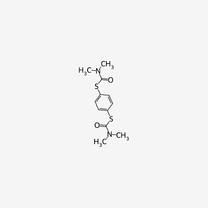 CN(C)C(=O)Sc1ccc(SC(=O)N(C)C)cc1